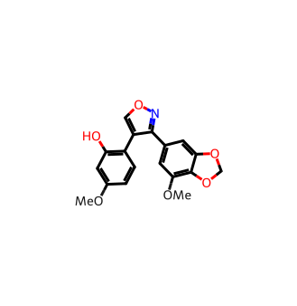 COc1ccc(-c2conc2-c2cc(OC)c3c(c2)OCO3)c(O)c1